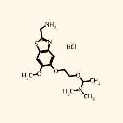 COc1cc2sc(CN)nc2cc1OCCOC(C)N(C)C.Cl